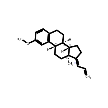 C=C/C=C1\CC[C@H]2[C@@H]3CCc4c[c]c(OC)cc4[C@H]3CC[C@]12C